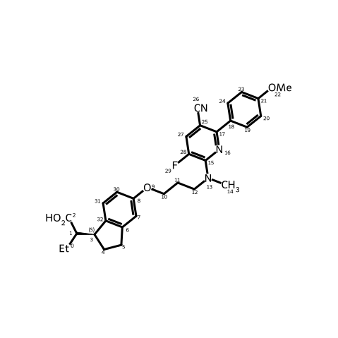 CCC(C(=O)O)[C@@H]1CCc2cc(OCCCN(C)c3nc(-c4ccc(OC)cc4)c(C#N)cc3F)ccc21